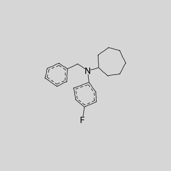 Fc1ccc(N(Cc2ccccc2)C2CCCCCC2)cc1